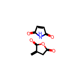 C=C1CC(=O)OC1=O.O=C1C=CC(=O)N1